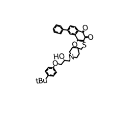 CC(C)(C)c1ccc(OC[C@H](O)CN2CCC3(CC2)CSC2=C(O3)c3cc(-c4ccccc4)ccc3C(=O)C2=O)cc1